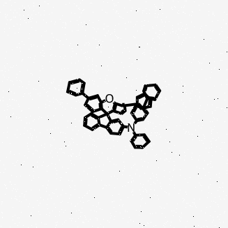 c1ccc(-c2ccc(N(c3ccccc3)c3ccc4c(c3)C3(c5ccc(-c6ccccc6)cc5Oc5cc(-c6ccccc6)ccc53)c3ccccc3-4)cc2)cc1